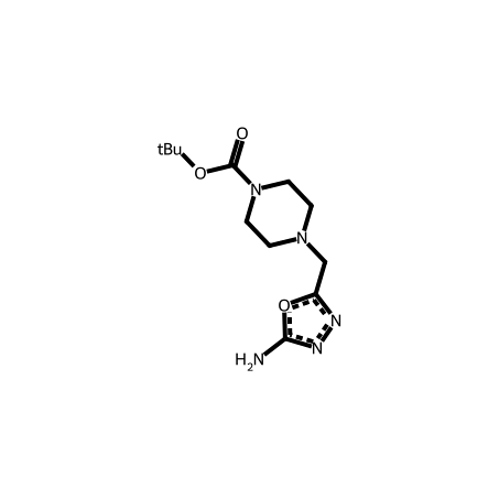 CC(C)(C)OC(=O)N1CCN(Cc2nnc(N)o2)CC1